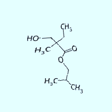 CCC(C)(CO)C(=O)OCC(C)C